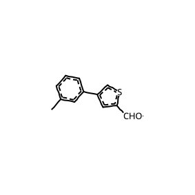 Cc1cccc(-c2csc([C]=O)c2)c1